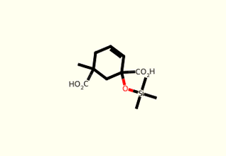 CC1(C(=O)O)CC=CC(O[Si](C)(C)C)(C(=O)O)C1